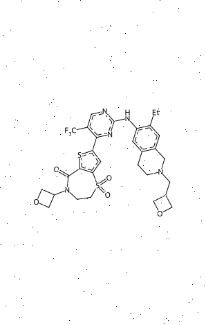 CCc1cc2c(cc1Nc1ncc(C(F)(F)F)c(-c3cc4c(s3)C(=O)N(C3COC3)CCS4(=O)=O)n1)CCN(CC1COC1)C2